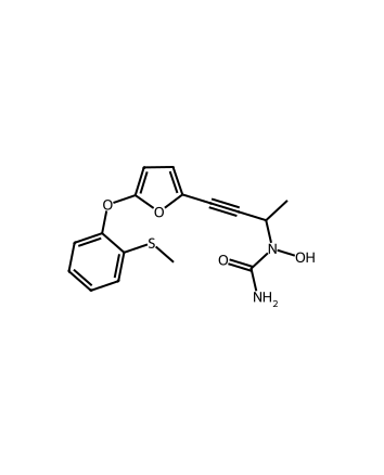 CSc1ccccc1Oc1ccc(C#CC(C)N(O)C(N)=O)o1